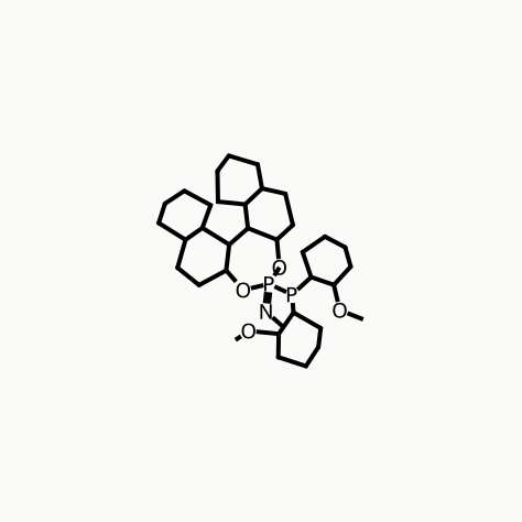 CN=P1(P(C2CCCCC2OC)C2CCCCC2OC)OC2CCC3CCCCC3C2C2C(CCC3CCCCC32)O1